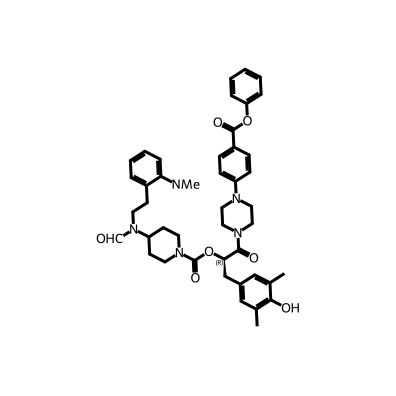 CNc1ccccc1CCN(C=O)C1CCN(C(=O)O[C@H](Cc2cc(C)c(O)c(C)c2)C(=O)N2CCN(c3ccc(C(=O)Oc4ccccc4)cc3)CC2)CC1